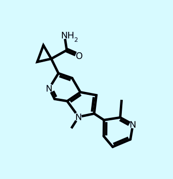 Cc1ncccc1-c1cc2cc(C3(C(N)=O)CC3)ncc2n1C